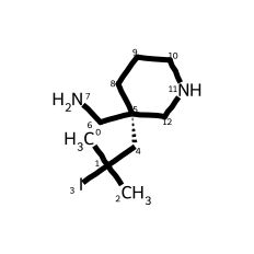 CC(C)(I)C[C@]1(CN)CCCNC1